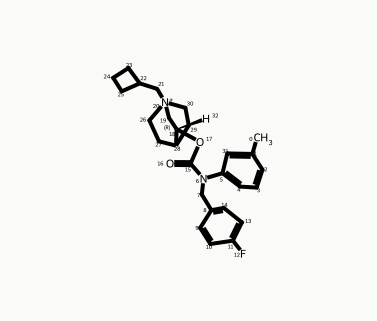 Cc1cccc(N(Cc2ccc(F)cc2)C(=O)O[C@H]2C[N+]3(CC4CCC4)CCC2CC3)c1